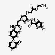 CCOC(=O)CO[C@H]1CN(CC(=O)Nc2ccc(-n3ccccc3=O)cc2F)C[C@H]1NC(=O)c1ccc(Cl)s1